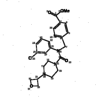 COC(=O)c1ccc(CN(C(=O)N2CCN(C3COC3)CC2)c2cccc(Cl)c2)nc1